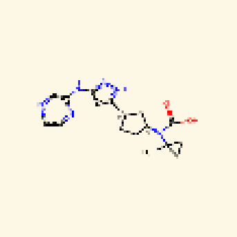 CC1(N(C(=O)O)[C@H]2CC[C@@H](c3cc(Nc4cnccn4)n[nH]3)C2)CC1